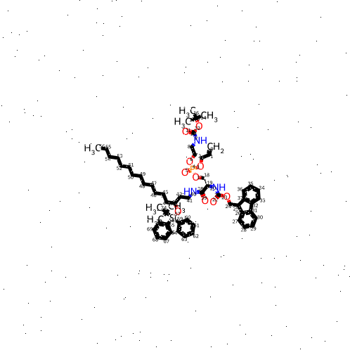 C=CCOP(=O)(OCCNC(=O)OC(C)(C)C)OC[C@H](NC(=O)OCC1c2ccccc2-c2ccccc21)C(=O)NCCC(CCCCCCCCCCCCC)O[Si](c1ccccc1)(c1ccccc1)C(C)(C)C